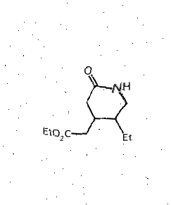 CCOC(=O)CC1CC(=O)NCC1CC